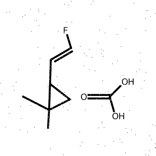 CC1(C)CC1C=CF.O=C(O)O